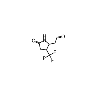 O=CCC1NC(=O)CC1C(F)(F)F